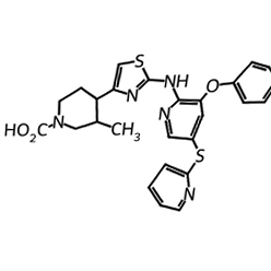 CC1CN(C(=O)O)CCC1c1csc(Nc2ncc(Sc3ccccn3)cc2Oc2ccccc2)n1